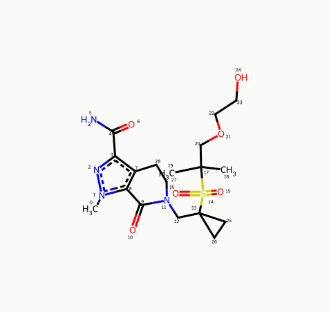 Cn1nc(C(N)=O)c2c1C(=O)N(CC1(S(=O)(=O)C(C)(C)COCCO)CC1)CC2